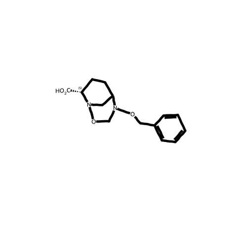 O=C(O)[C@@H]1CCC2CN1OCN2OCc1ccccc1